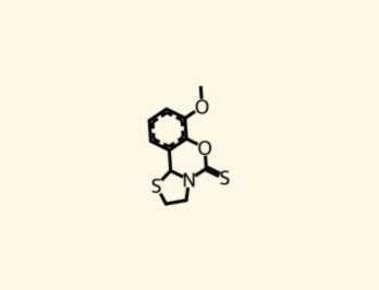 COc1cccc2c1OC(=S)N1CCSC21